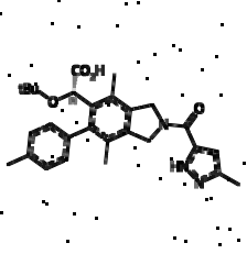 Cc1ccc(-c2c(C)c3c(c(C)c2[C@H](OC(C)(C)C)C(=O)O)CN(C(=O)c2cc(C)n[nH]2)C3)cc1